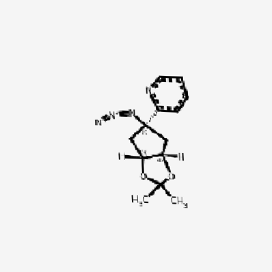 CC1(C)O[C@H]2C[C@@](N=[N+]=[N-])(c3ccccn3)C[C@H]2O1